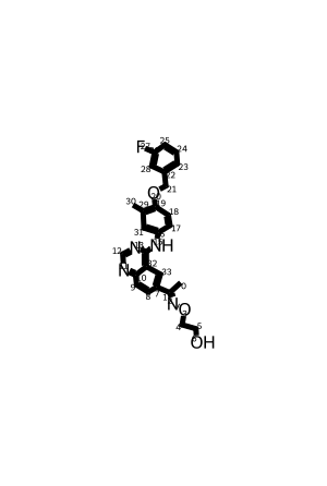 C/C(=N\OCCO)c1ccc2ncnc(Nc3ccc(OCc4cccc(F)c4)c(C)c3)c2c1